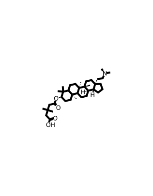 CN(C)CC[C@]12CCC[C@@H]1[C@H]1CCC3[C@@]4(C)CC[C@H](OC(=O)CC(C)(C)CC(=O)O)C(C)(C)C4CC[C@@]3(C)[C@]1(C)CC2